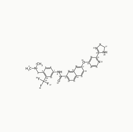 CN(C)Cc1ccc(NC(=O)c2ccc3ccc(Oc4ccnc(C5=NCCN5)c4)cc3c2)cc1C(F)(F)F